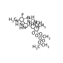 CNc1cc(F)c(C#N)c2c1[nH]c1ncc(-c3cnc4c(c3)c(=O)c(C(=O)OC(C)OC(=O)OC(C)C)cn4C)c(N3CC[C@H]4CN(C)C[C@H]43)c12